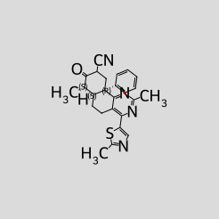 Cc1nc(-c2cnc(C)s2)c2c(n1)[C@]1(c3ccccc3)CC(C#N)C(=O)[C@@H](C)[C@@H]1CC2